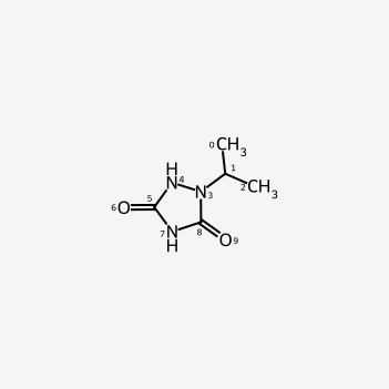 CC(C)n1[nH]c(=O)[nH]c1=O